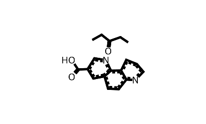 CCC(=O)CC.O=C(O)c1cnc2c(ccc3ncccc32)c1